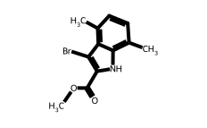 COC(=O)c1[nH]c2c(C)ccc(C)c2c1Br